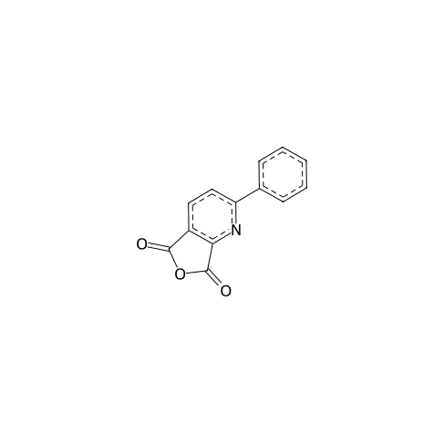 O=C1OC(=O)c2nc(-c3ccccc3)ccc21